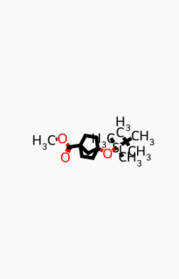 COC(=O)C12CCC(O[Si](C)(C)C(C)(C)C)(CC1)C2